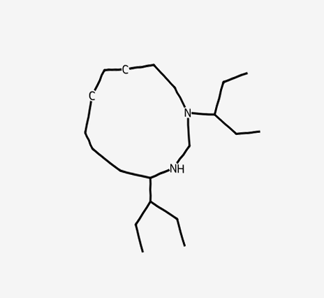 CCC(CC)C1CCCCCCCCN(C(CC)CC)CN1